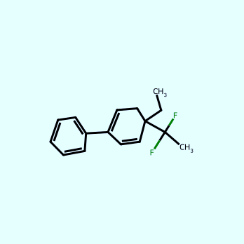 CCC1(C(C)(F)F)C=CC(c2ccccc2)=CC1